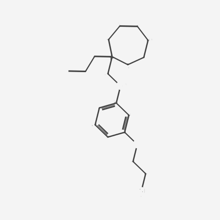 CCCC1(COc2cccc(OCCN)c2)CCCCCC1